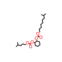 CC(C)CCCCCCCOC(=O)OC1CCCCC1OC(=O)OCCCC(C)C